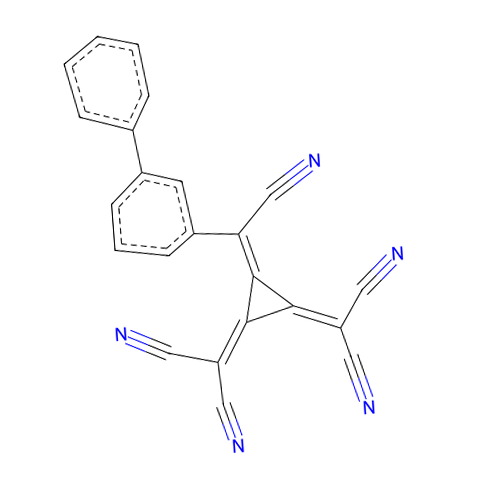 N#CC(C#N)=C1C(=C(C#N)C#N)C1=C(C#N)c1cccc(-c2ccccc2)c1